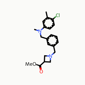 COC(=O)C1CN(Cc2cccc(CN(C)c3ccc(Cl)c(C)c3)c2)C1